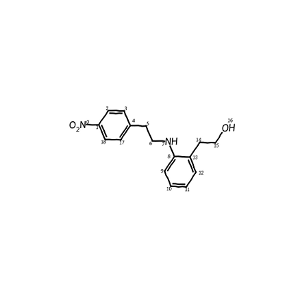 O=[N+]([O-])c1ccc(CCNc2ccccc2CCO)cc1